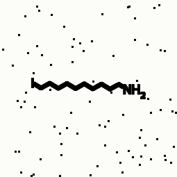 NCCCCCCCCCCI